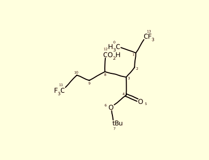 CC(CC(C(=O)OC(C)(C)C)C(CCC(F)(F)F)C(=O)O)C(F)(F)F